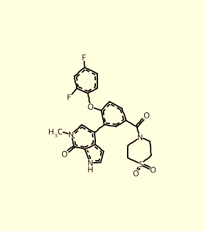 Cn1cc(-c2cc(C(=O)N3CCS(=O)(=O)CC3)ccc2Oc2ccc(F)cc2F)c2cc[nH]c2c1=O